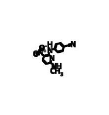 CNc1ccc([N+](=O)[O-])c(Nc2ccc(C#N)cc2)n1